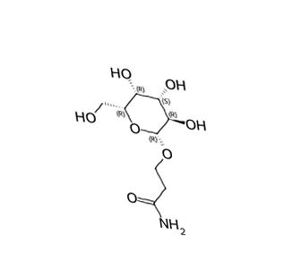 NC(=O)CCO[C@@H]1O[C@H](CO)[C@H](O)[C@H](O)[C@H]1O